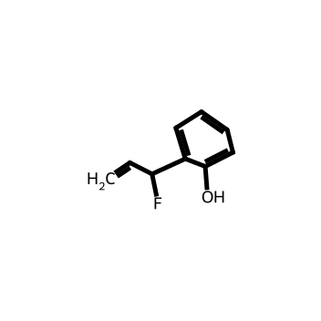 C=CC(F)c1ccccc1O